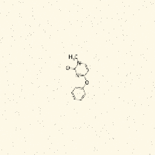 Cn1ccc(Oc2ccccc2)nc1=O